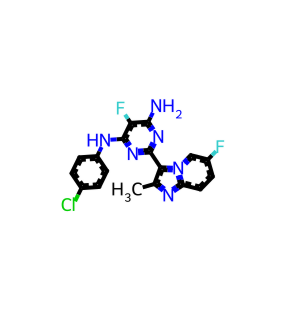 Cc1nc2ccc(F)cn2c1-c1nc(N)c(F)c(Nc2ccc(Cl)cc2)n1